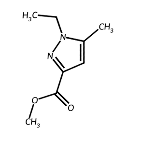 CCn1nc(C(=O)OC)cc1C